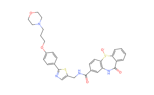 O=C(NCc1cnc(-c2ccc(OCCCN3CCOCC3)cc2)s1)c1ccc2c(c1)NC(=O)c1ccccc1[S+]2[O-]